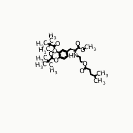 COC(=O)[C@H](Cc1ccc(OC(=O)C(C)(C)C)c(OC(=O)C(C)(C)C)c1)NCCOC(=O)CCC(C)C